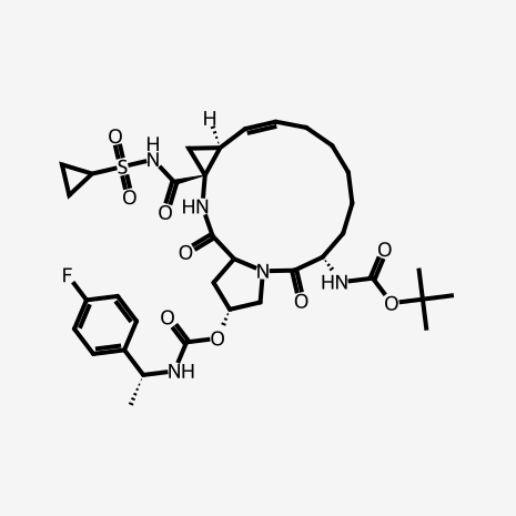 C[C@@H](NC(=O)O[C@@H]1CC2C(=O)N[C@]3(C(=O)NS(=O)(=O)C4CC4)C[C@H]3/C=C\CCCCC[C@H](NC(=O)OC(C)(C)C)C(=O)N2C1)c1ccc(F)cc1